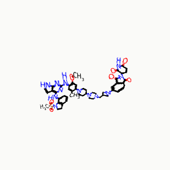 COc1cc(N2CCC(N3CCN(CC4CN(c5ccc6c(c5)C(=O)N(C5CCC(=O)NC5=O)C6=O)C4)CC3)CC2)c(C)cc1Nc1nc(Nc2cccc3c2N(S(C)(=O)=O)CC3)c2cc[nH]c2n1